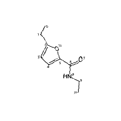 CCc1ccc(C(=O)NCI)o1